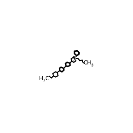 CCCCC[Si]1(c2ccccc2)CCC(c2ccc(-c3ccc(C4CCC(CCC)CC4)cc3)cc2)CC1